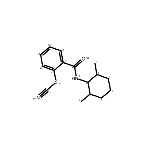 CC1CCCC(C)C1NC(=O)c1ccccc1SC#N